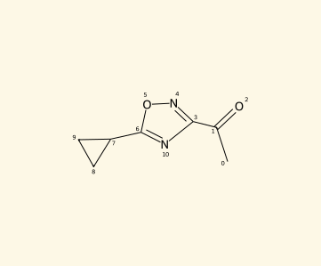 CC(=O)c1noc(C2CC2)n1